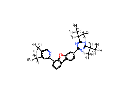 [2H]C([2H])([2H])c1cnc(-c2cccc3c2oc2cc(-c4nc(C([2H])(C([2H])([2H])[2H])C([2H])([2H])[2H])nc(C([2H])(C([2H])([2H])[2H])C([2H])([2H])[2H])n4)ccc23)cc1C([2H])([2H])C(C)(C)C